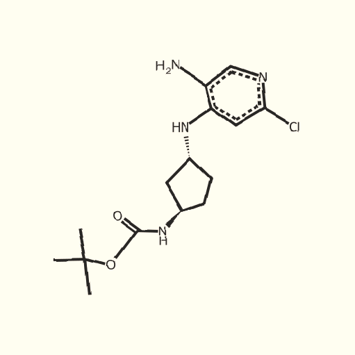 CC(C)(C)OC(=O)N[C@@H]1CC[C@@H](Nc2cc(Cl)ncc2N)C1